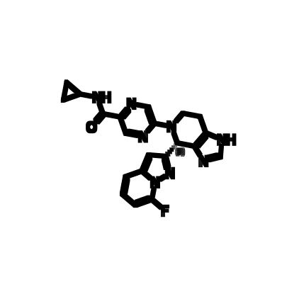 O=C(NC1CC1)c1cnc(N2CCc3[nH]cnc3[C@@H]2c2cc3cccc(F)n3n2)cn1